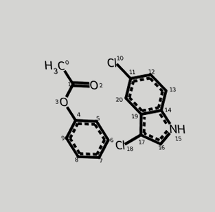 CC(=O)Oc1ccccc1.Clc1ccc2[nH]cc(Cl)c2c1